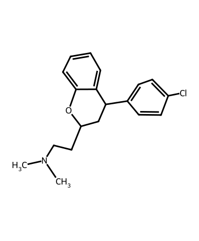 CN(C)CCC1CC(c2ccc(Cl)cc2)c2ccccc2O1